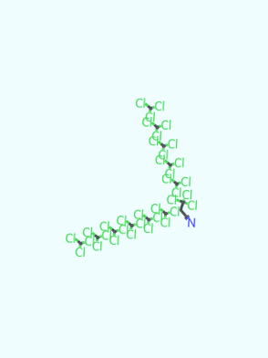 ClC(Cl)Cl.ClC(Cl)Cl.ClC(Cl)Cl.ClC(Cl)Cl.ClC(Cl)Cl.ClC(Cl)Cl.ClC(Cl)Cl.ClC(Cl)Cl.ClC(Cl)Cl.ClC(Cl)Cl.ClC(Cl)Cl.N#CCC(Cl)(Cl)Cl